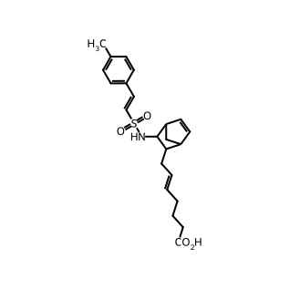 Cc1ccc(C=CS(=O)(=O)NC2C3C=CC(C3)C2CC=CCCCC(=O)O)cc1